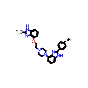 CCCc1ccc(-c2nc3c(N4CCN(CCOc5cccc6[nH]c(C(F)(F)F)nc56)CC4)cccc3[nH]2)cc1